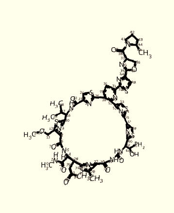 CNC(=O)C1NC(=O)c2nc(sc2COC)C(C(C)C)NC(=O)c2csc(n2)-c2ccc(-c3nc(C4=NC(C(=O)N5CCCC5C)CO4)cs3)nc2-c2csc(n2)-c2csc(n2)C(C(O)P)NC(=O)NC(=O)c2nc(sc2C)C1CC(C)=O